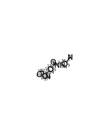 N#Cc1cccc(CNC(=O)c2ccc(-c3nccc4occc34)cc2)c1